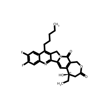 CCCCCc1c2c(nc3cc(F)c(F)cc13)-c1cc3c(c(=O)n1C2)COC(=O)C[C@]3(O)CC